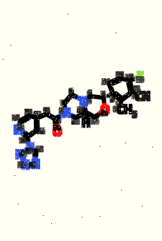 Cc1c([C@H]2CN3CCN(C(=O)Cc4ccnc(-n5cnnn5)c4)C[C@H]3CO2)ccc(F)c1C#N